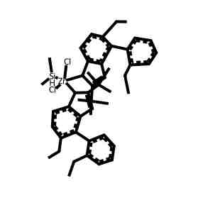 CCc1ccccc1-c1c(CC)ccc2c1C=C(C(C)(C)C)[CH]2[Zr]([Cl])([Cl])([CH]1C(C(C)(C)C)=Cc2c1ccc(CC)c2-c1ccccc1CC)[SiH](C)C